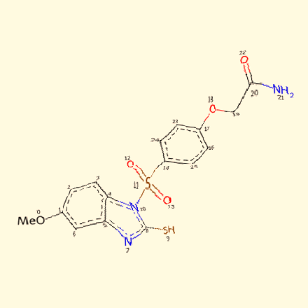 COc1ccc2c(c1)nc(S)n2S(=O)(=O)c1ccc(OCC(N)=O)cc1